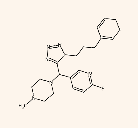 CN1CCN(C(C2=NN=NC2CCCC2=CCCC=C2)c2ccc(F)nc2)CC1